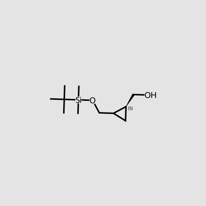 CC(C)(C)[Si](C)(C)OCC1C[C@@H]1CO